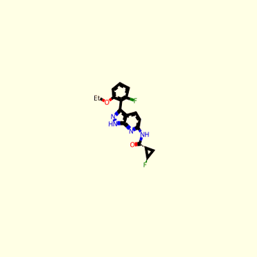 CCOc1cccc(F)c1-c1n[nH]c2nc(NC(=O)[C@@H]3C[C@@H]3F)ccc12